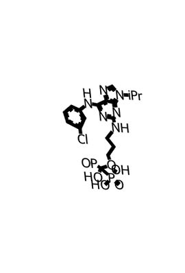 CC(C)n1cnc2c(Nc3cccc(Cl)c3)nc(NCCCOC(O)(P=O)P(=O)(O)O)nc21